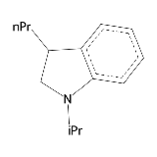 CCCC1CN(C(C)C)c2ccccc21